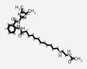 CC(=O)NCCNCCCCCCCCCCCC(=O)Nc1ccccc1C(=O)Nc1nc(C)c(C)s1